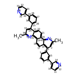 Cc1cc(-c2cccc(-c3cccnc3)c2)c2ccc3c(ccc4c(-c5cccc(-c6cccnc6)c5)cc(C)nc43)c2n1